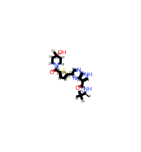 C[C@H](NC(=O)c1c[nH]c2ncc(-c3ccc(C(=O)N4CCC(C)(O)CC4)s3)nc12)C(C)(C)C